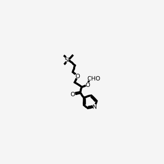 C[Si](C)(C)CCOCC(OC=O)C(=O)c1ccncc1